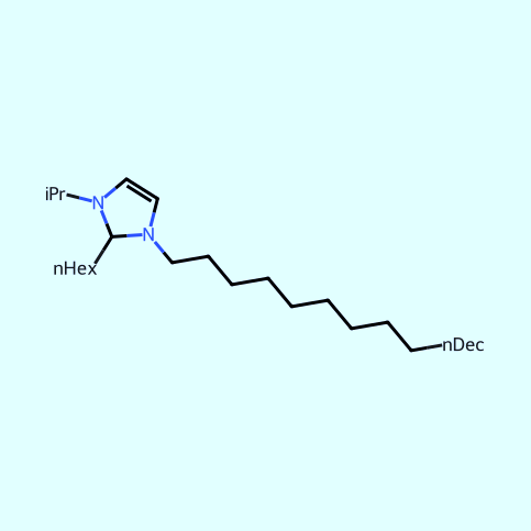 CCCCCCCCCCCCCCCCCCCN1C=CN(C(C)C)C1CCCCCC